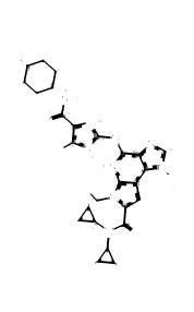 CCn1c(C(=O)N(C2CC2)C2CC2)cc2c3c(ncn3C)c(Nc3nc(C)c(C(=O)N[C@H]4CC[C@H](O)CC4)s3)nc21